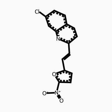 O=[N+]([O-])c1ccc(C=Cc2ccc3ccc(Cl)cc3n2)o1